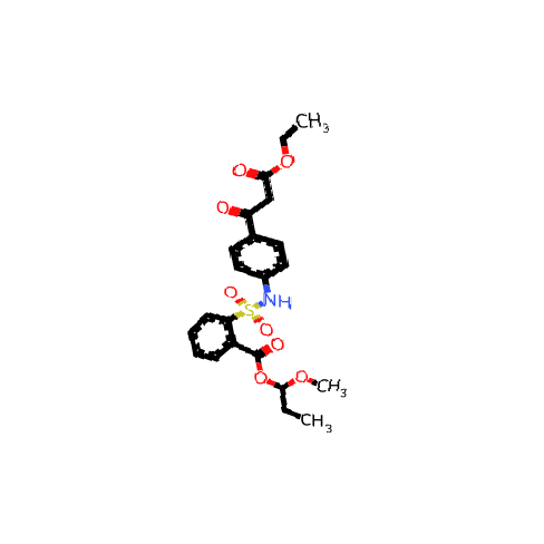 CCOC(=O)CC(=O)c1ccc(NS(=O)(=O)c2ccccc2C(=O)OC(CC)OC)cc1